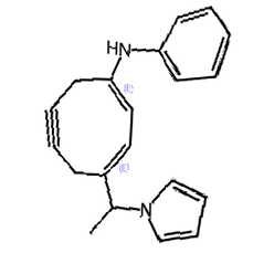 CC(/C1=C/C=C(/Nc2ccccc2)CC#CC1)n1cccc1